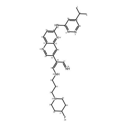 CC(C)c1cnnc(Nc2ccc3ncc(/C(C=N)=C/NCCCN4CCC(F)CC4)cc3n2)c1